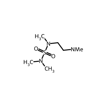 CNCCN(C)S(=O)(=O)N(C)C